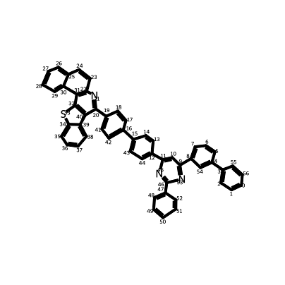 c1ccc(-c2cccc(-c3cc(-c4ccc(-c5ccc(-c6nc7ccc8ccccc8c7c7sc8ccccc8c67)cc5)cc4)nc(-c4ccccc4)n3)c2)cc1